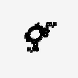 CCn1nc(C)c2c1C(=O)Nc1nc3cc(C(N)=O)ccc3n1CCCCn1c(nc3c(N(C)C(=O)CCC(=O)O)cccc31)NC(=O)c1cc(C)nn1CCCCC2